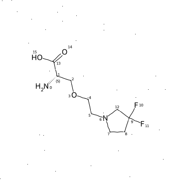 N[C@@H](COCCN1CCC(F)(F)C1)C(=O)O